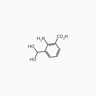 Nc1c(C(=O)O)cccc1C(O)O